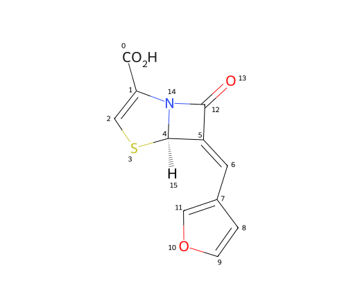 O=C(O)C1=CS[C@@H]2C(=Cc3ccoc3)C(=O)N12